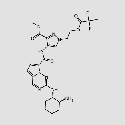 CNC(=O)c1nn(CCOC(=O)C(F)(F)F)cc1NC(=O)c1ccc2cnc(N[C@@H]3CCCC[C@@H]3N)nn12